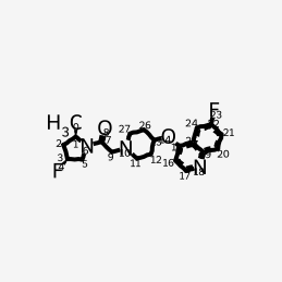 C[C@@H]1C[C@H](F)CN1C(=O)CN1CCC(Oc2ccnc3ccc(F)cc23)CC1